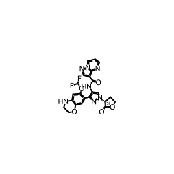 O=C(Nc1cn([C@H]2CCOC2=O)nc1-c1cc2c(cc1OC(F)F)NCCO2)c1cnn2cccnc12